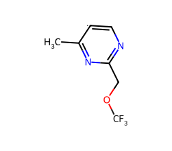 Cc1[c]cnc(COC(F)(F)F)n1